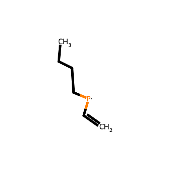 C=C[P]CCCC